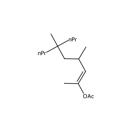 CCCC(C)(CCC)CC(C)/C=C(\C)OC(C)=O